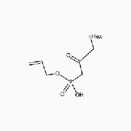 C=CCOP(=O)(O)CC(=O)CCCCCCC